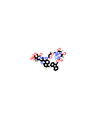 CC[C@@]1(O)C(=O)OCc2c1cc1n(c2=O)Cc2c-1nc1cc(F)c(C)c3c1c2[C@@H](NC(=O)C[C@@H](C)OCNC(=O)[C@H](C)NC(=O)[C@H](C)NC(=O)OCC1c2ccccc2-c2ccccc21)CC3